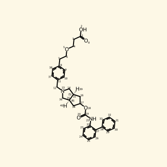 O=C(O)CCOCCc1ccc(CN2C[C@H]3CC(OC(=O)Nc4ccccc4-c4ccccc4)C[C@H]3C2)cc1